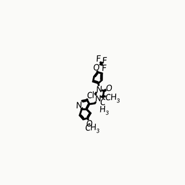 COc1ccc2ncc(Cl)c(CN3CN(c4ccc(OC(F)(F)F)cc4)C(=O)C3(C)C)c2c1